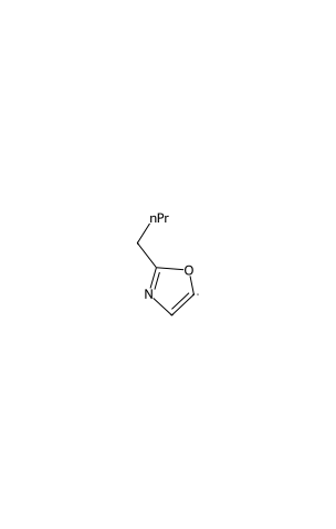 CCCCc1nc[c]o1